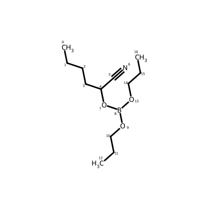 CCCCC(C#N)OB(OCCC)OCCC